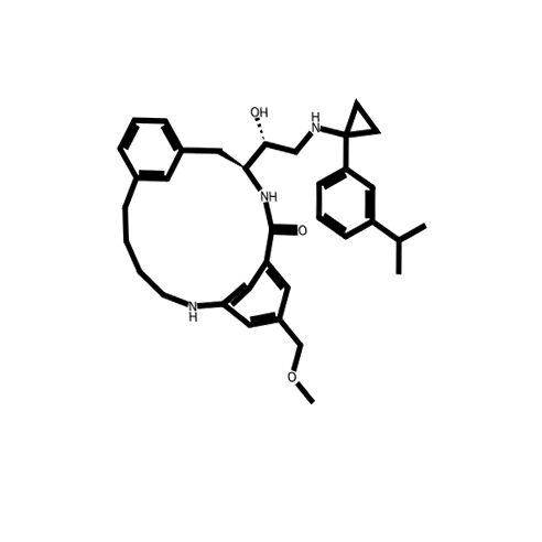 COCc1cc2cc(c1)C(=O)N[C@H]([C@H](O)CNC1(c3cccc(C(C)C)c3)CC1)Cc1cccc(c1)CCCCN2